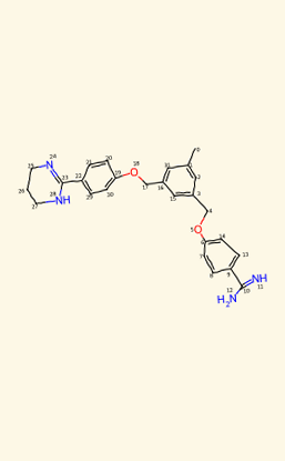 Cc1cc(COc2ccc(C(=N)N)cc2)cc(COc2ccc(C3=NCCCN3)cc2)c1